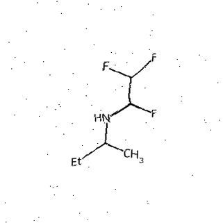 CCC(C)NC(F)C(F)F